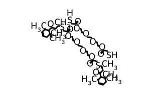 CC(CC(=O)C1C(C)C=CCC1(C)C)SCC(=O)OCCOCCOCCOC(=O)CSC(C)CC(=O)C1C(C)C=CCC1(C)C.O=C(CS)OCCOCCOCCOC(=O)CS